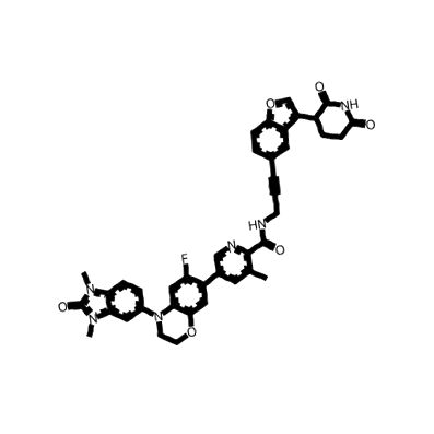 Cc1cc(-c2cc3c(cc2F)N(c2ccc4c(c2)n(C)c(=O)n4C)CCO3)cnc1C(=O)NCC#Cc1ccc2occ(C3CCC(=O)NC3=O)c2c1